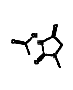 CC(=O)O.CN1CC(=O)NC1=O